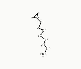 OOOOOOCCC1CC1